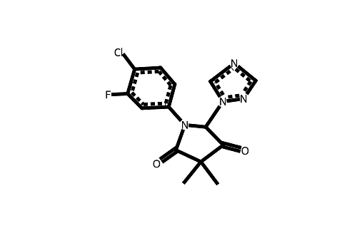 CC1(C)C(=O)C(n2cncn2)N(c2ccc(Cl)c(F)c2)C1=O